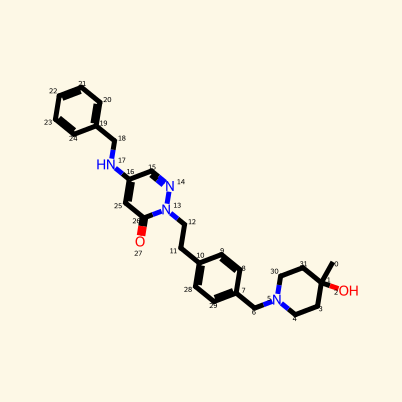 CC1(O)CCN(Cc2ccc(CCn3ncc(NCc4ccccc4)cc3=O)cc2)CC1